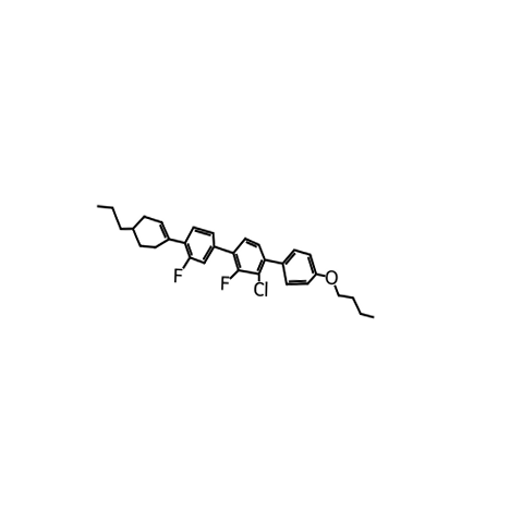 CCCCOc1ccc(-c2ccc(-c3ccc(C4=CCC(CCC)CC4)c(F)c3)c(F)c2Cl)cc1